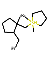 CCC(C)C1(C[SH]2(C)(C)CCCC2)CCCC1CC(C)C